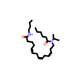 CCCCCC(=O)N(CC/C=C\C/C=C\C/C=C\CCCC(=O)NCCCC)C(C)C